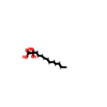 CCCCCCCCCCCC(O)(O)C(=O)O